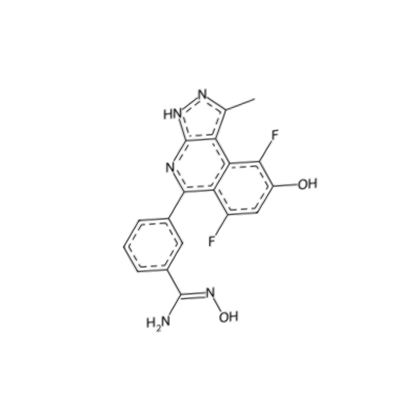 Cc1n[nH]c2nc(-c3cccc(C(N)=NO)c3)c3c(F)cc(O)c(F)c3c12